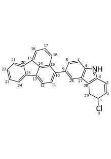 ClC1C=Cc2[nH]c3ccc(-c4ccc5c6c(cccc46)-c4ccccc4-5)cc3c2C1